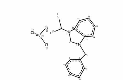 FC(F)N1CN(Cc2ccccc2)c2ccccc21.[Cl][Au]([Cl])[Cl]